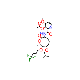 COc1ccnc(C(=O)N[C@H]2CCC[C@H](OCC(C)C)[C@@H](OCCCC(F)(F)F)[C@H](C)OC2=O)c1OC(C)=O